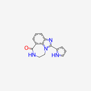 O=C1NCCn2c(-c3ccc[nH]3)nc3cccc1c32